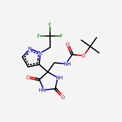 CC(C)(C)OC(=O)NCC1(c2ccnn2CC(F)(F)F)NC(=O)NC1=O